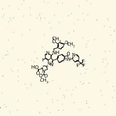 COC(=O)N1C[C@@H](n2nc(-c3ccc(C(=O)Nc4cc(C(F)(F)F)ccn4)cc3)c3c(NCc4ccc(OC)cc4OC)ncc(I)c32)C[C@@H]1C(=O)O